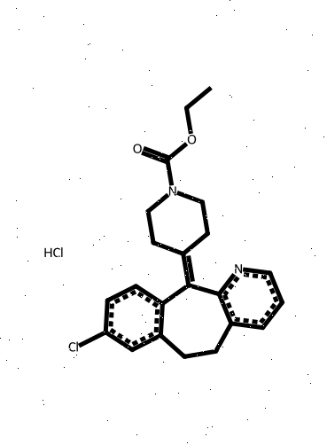 CCOC(=O)N1CCC(=C2c3ccc(Cl)cc3CCc3cccnc32)CC1.Cl